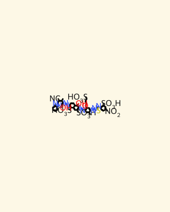 Cc1cc(N=Nc2c(S(=O)(=O)O)cc3c(S(=O)(=O)O)c(N=Nc4c(C)c(C#N)c5nc6ccccc6n5c4O)ccc3c2O)c(OCCCS(=O)(=O)O)cc1N=Nc1nc2c(S(=O)(=O)O)cc([N+](=O)[O-])cc2s1